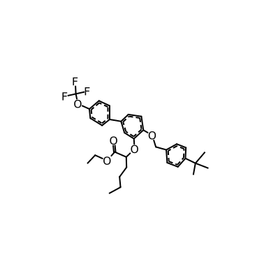 CCCCC(Oc1cc(-c2ccc(OC(F)(F)F)cc2)ccc1OCc1ccc(C(C)(C)C)cc1)C(=O)OCC